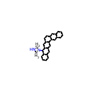 c1ccc2cc3c(ccc4cc5c(N6[SiH2]N[SiH2]6)c6ccccc6cc5cc43)cc2c1